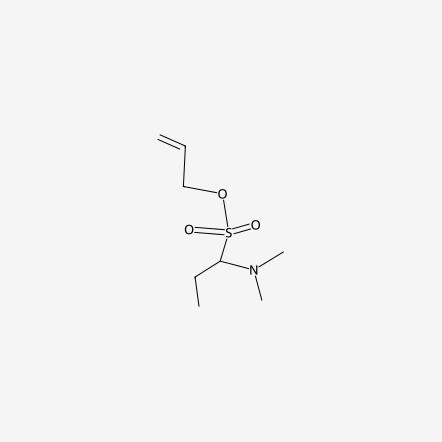 C=CCOS(=O)(=O)C(CC)N(C)C